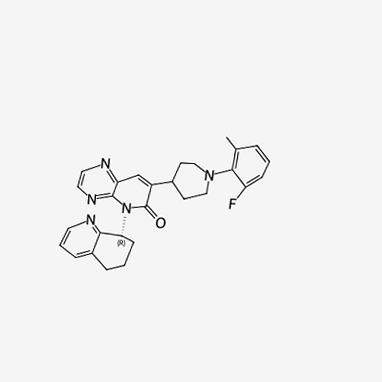 Cc1cccc(F)c1N1CCC(c2cc3nccnc3n([C@@H]3CCCc4cccnc43)c2=O)CC1